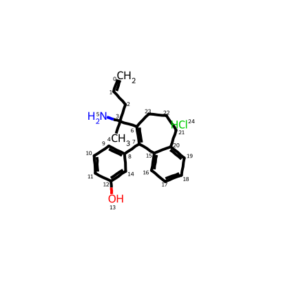 C=CCC(C)(N)C1=C(c2cccc(O)c2)c2ccccc2CCC1.Cl